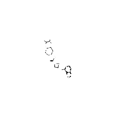 CC(N[C@H]1CC[C@H](NC(=O)[C@H]2C[C@H](Oc3cccc4scnc34)C2)CC1)C(F)F